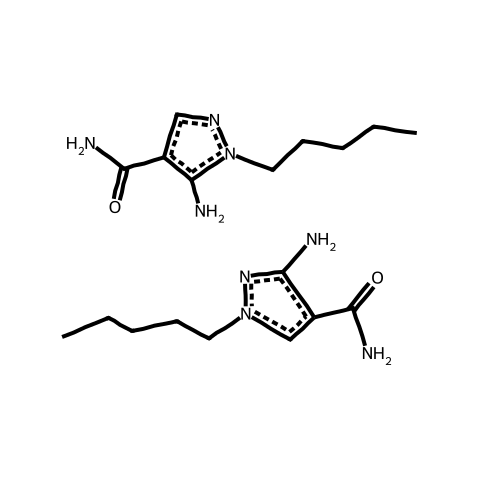 CCCCCn1cc(C(N)=O)c(N)n1.CCCCCn1ncc(C(N)=O)c1N